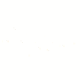 CNC(=O)c1nn(C)c2c1ccc1cnc(N)nc12